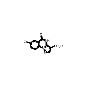 CCOC(=O)c1cnn2c1[nH]c(=O)c1cc(Cl)ccc12